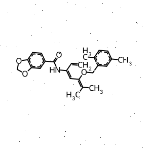 C=C/C(=C\C(OCc1cc(C)ccc1C)=C(C)C)NC(=O)c1ccc2c(c1)OCO2